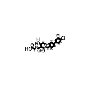 O=C(O)CNC(=O)C1=C(O)CCN(Cc2ccc(-c3ccc(Cl)c(Cl)c3)cc2)C1=O